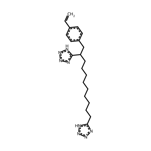 C=Cc1ccc(CC(CCCCCCCCCc2nnn[nH]2)c2nnn[nH]2)cc1